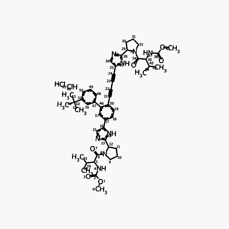 COC(=O)NC(C(=O)N1CCCC1c1ncc(-c2ccc(C#CC#Cc3cnc(C4CCCN4C(=O)[C@@H](NC(=O)OC)C(C)C)[nH]3)c(-c3cccc(C(C)(C)C)c3)c2)[nH]1)C(C)C.Cl.Cl